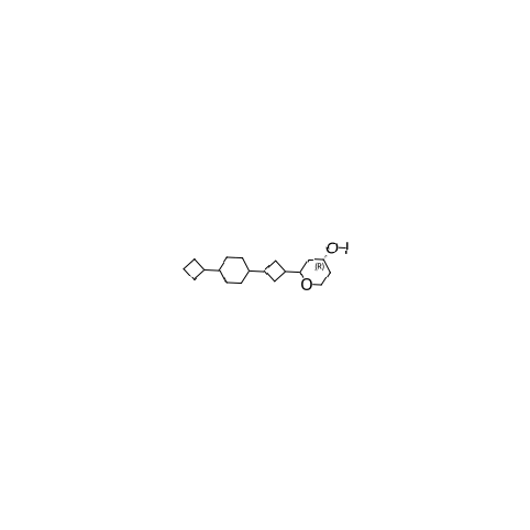 IO[C@@H]1CCOC(C2CC(C3CCC(C4CCC4)CC3)C2)C1